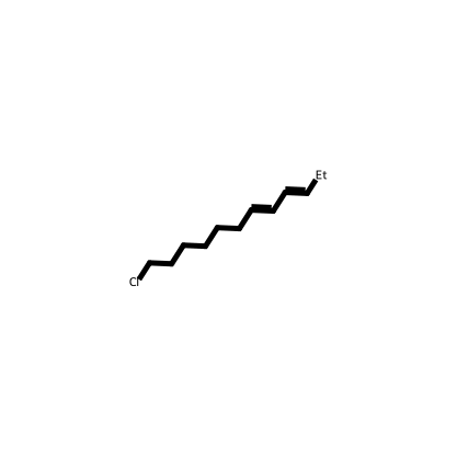 CCC=CC=CCCCCCCCl